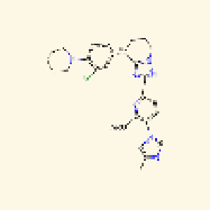 COc1nc(-c2nc3n(n2)CCC[C@H]3c2ccc(N3CCCCC3)c(Br)c2)ccc1-n1cnc(C)c1